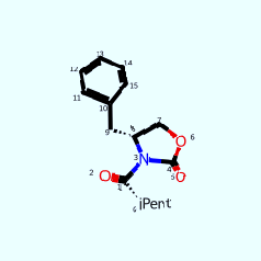 CCC[C@@H](C)C(=O)N1C(=O)OC[C@H]1Cc1ccccc1